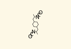 CC(CC1CCC(CC(C)N=C=O)CC1)N=C=O